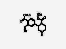 COC(=O)c1ccc(C2CNCCN2C(=O)OC(C)(C)C)cc1CBr